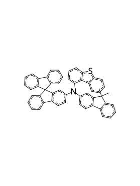 CC1(C)c2ccccc2-c2ccc(N(c3ccc4c(c3)C3(c5ccccc5-c5ccccc53)c3ccccc3-4)c3cccc4sc5ccccc5c34)cc21